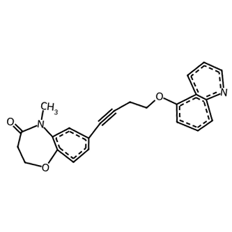 CN1C(=O)CCOc2ccc(C#CCCOc3cccc4ncccc34)cc21